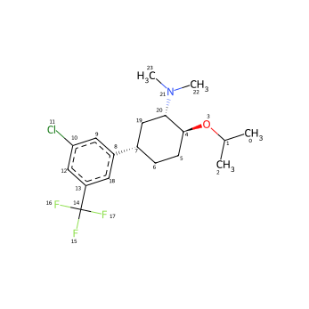 CC(C)O[C@H]1CC[C@H](c2cc(Cl)cc(C(F)(F)F)c2)C[C@@H]1N(C)C